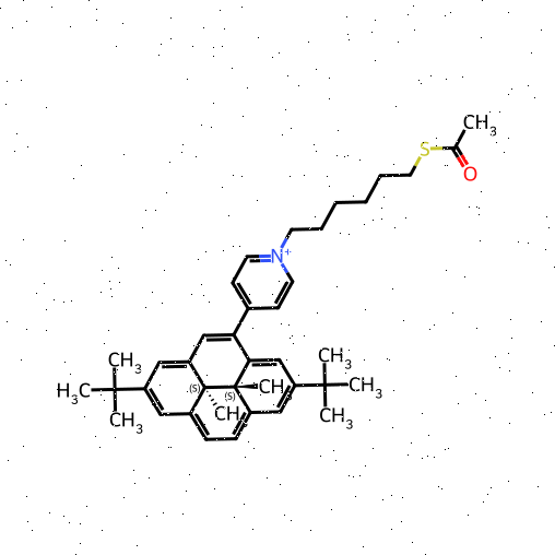 CC(=O)SCCCCCC[n+]1ccc(C2=CC3=CC(C(C)(C)C)=CC4=CC=C5C=C(C(C)(C)C)C=C2[C@@]5(C)[C@@]43C)cc1